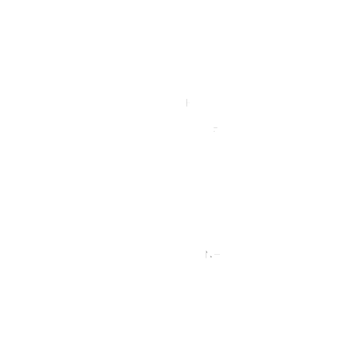 Cc1cc(C(F)(F)F)ccc1C=N